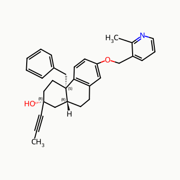 CC#C[C@@]1(O)CC[C@@]2(Cc3ccccc3)c3ccc(OCc4cccnc4C)cc3CC[C@@H]2C1